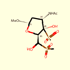 CO[C@@H]1C[C@H](NC(C)=O)[C@@](O)(S(C)(=O)=O)[C@@H](C(O)S(C)(=O)=O)O1